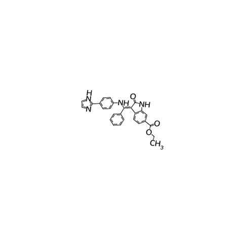 CCOC(=O)c1ccc2c(c1)NC(=O)/C2=C(\Nc1ccc(-c2ncc[nH]2)cc1)c1ccccc1